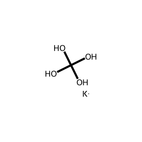 OC(O)(O)O.[K]